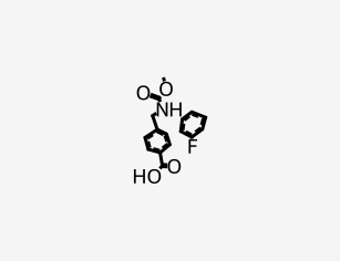 COC(=O)NCc1ccc(C(=O)O)cc1.Fc1ccccc1